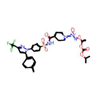 Cc1ccc(-c2cc(C(F)(F)F)nn2-c2ccc(S(=O)(=O)NC(=O)C3CCN([N+]([O-])=NOC(C)OC(=O)OC(C)C)CC3)cc2)cc1